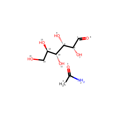 CC(N)=O.O=C[C@H](O)[C@@H](O)[C@H](O)[C@H](O)CO